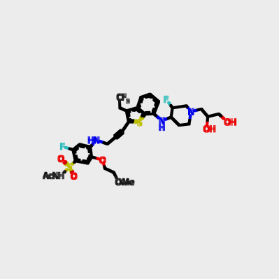 COCCOc1cc(S(=O)(=O)NC(C)=O)c(F)cc1NCC#Cc1sc2c(NC3CCN(CC(O)CO)CC3F)cccc2c1CC(F)(F)F